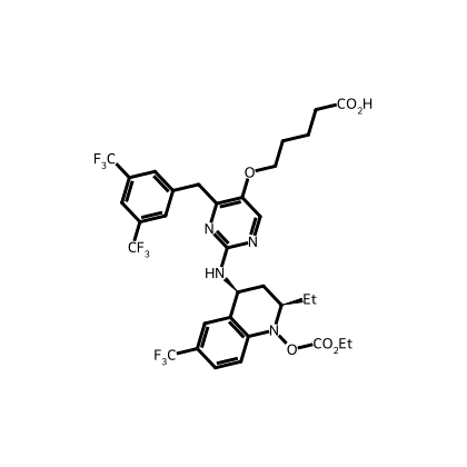 CCOC(=O)ON1c2ccc(C(F)(F)F)cc2[C@@H](Nc2ncc(OCCCCC(=O)O)c(Cc3cc(C(F)(F)F)cc(C(F)(F)F)c3)n2)C[C@H]1CC